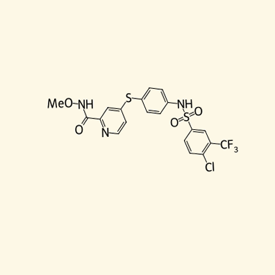 CONC(=O)c1cc(Sc2ccc(NS(=O)(=O)c3ccc(Cl)c(C(F)(F)F)c3)cc2)ccn1